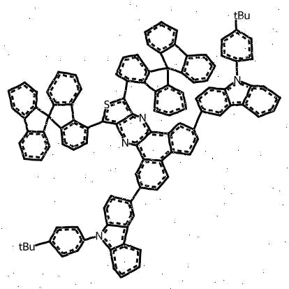 CC(C)(C)c1ccc(-n2c3ccccc3c3cc(-c4ccc5c6ccc(-c7ccc8c(c7)c7ccccc7n8-c7ccc(C(C)(C)C)cc7)cc6c6nc7c(-c8cccc9c8-c8ccccc8C98c9ccccc9-c9ccccc98)sc(-c8cccc9c8-c8ccccc8C98c9ccccc9-c9ccccc98)c7nc6c5c4)ccc32)cc1